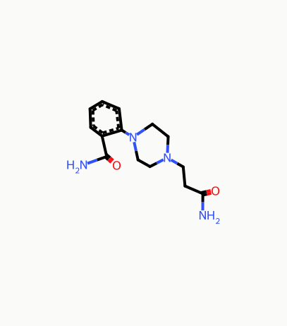 NC(=O)CCN1CCN(c2ccccc2C(N)=O)CC1